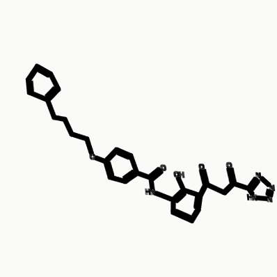 O=C(Nc1cccc(C(=O)CC(=O)c2nnn[nH]2)c1O)c1ccc(OCCCCc2ccccc2)cc1